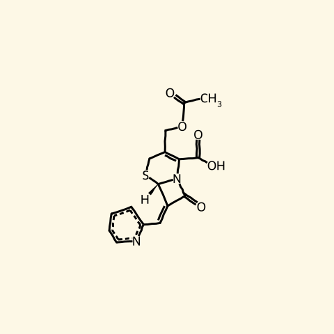 CC(=O)OCC1=C(C(=O)O)N2C(=O)/C(=C/c3ccccn3)[C@@H]2SC1